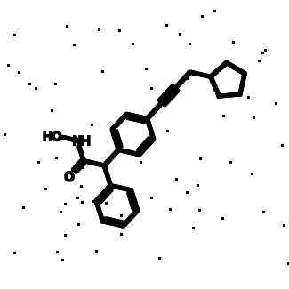 O=C(NO)C(c1ccccc1)c1ccc(C#CCC2CCCC2)cc1